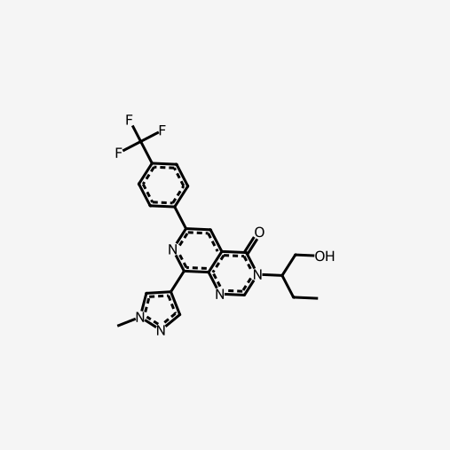 CCC(CO)n1cnc2c(-c3cnn(C)c3)nc(-c3ccc(C(F)(F)F)cc3)cc2c1=O